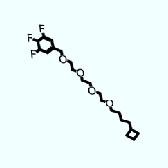 FC1=CC(COCCOCCOCCOCCCCC2CCC2)=CC(F)C1F